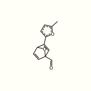 Cc1ccc(C2=CC3(C=O)C=CC2O3)o1